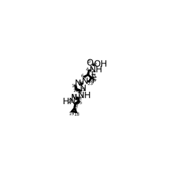 O=C(O)NCC1CN(c2nccc(Nc3cc(C4CC4)[nH]n3)n2)CC1(F)F